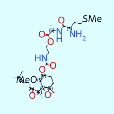 CO[C@@H]1[C@H](OC(=O)NCCOC(=O)[C@H](C)NC(=O)[C@@H](N)CCSC)CC[C@]2(CO2)[C@H]1[C@@]1(C)O[C@@H]1CC=C(C)C